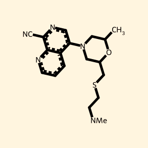 CNCCSCC1CN(c2cnc(C#N)c3ncccc23)CC(C)O1